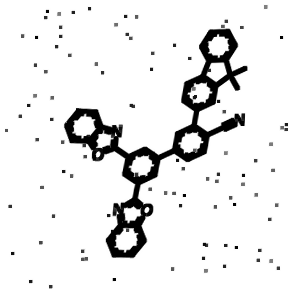 CC1(C)c2ccccc2-c2ccc(-c3cc(-c4cc(-c5nc6ccccc6o5)cc(-c5nc6ccccc6o5)c4)ccc3C#N)cc21